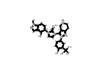 C[C@@H]1NCCc2nn(-c3ccc(F)c(C(F)(F)F)c3)c(-n3ccn(-c4ccc5c(cnn5C)c4F)c3=O)c21